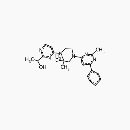 Cc1nc(-c2ccccc2)nc(N2CCN(c3ccnc(C(C)O)n3)C(C)(C)C2)n1